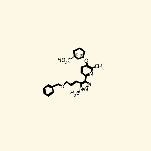 Cc1nc(-c2nnn(C)c2C=CCOCc2ccccc2)ccc1O[C@H]1CCC[C@H](C(=O)O)C1